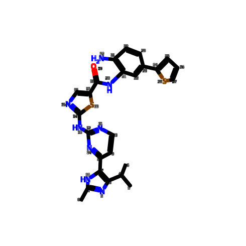 Cc1nc(C(C)C)c(-c2ccnc(Nc3ncc(C(=O)Nc4cc(-c5cccs5)ccc4N)s3)n2)[nH]1